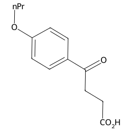 CCCOc1ccc(C(=O)CCC(=O)O)cc1